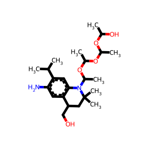 CC(O)OC(C)OC(C)OC(C)N1c2cc(C(C)C)c(N)cc2C(CO)CC1(C)C